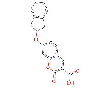 O=C(O)c1cc2ccc(OC3Cc4ccccc4C3)cc2oc1=O